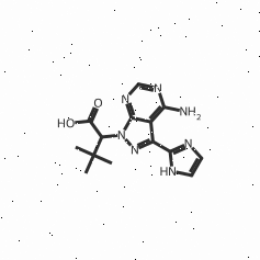 CC(C)(C)C(C(=O)O)n1nc(-c2ncc[nH]2)c2c(N)ncnc21